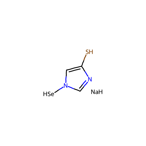 Sc1cn([SeH])cn1.[NaH]